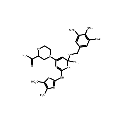 COc1cc(CNC2(C)C=C(N3CCNC(C(N)=O)C3)N=C(Nc3nc(C)c(C(=O)O)s3)N2)cc(OC)c1OC